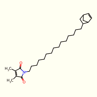 CC1=C(C)C(=O)N(CCCCCCCCCCCCCCCC2CC3C=CC2C3)C1=O